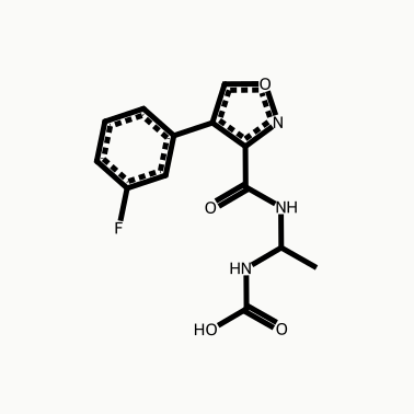 CC(NC(=O)O)NC(=O)c1nocc1-c1cccc(F)c1